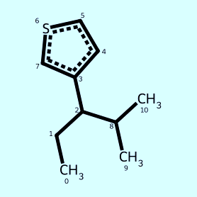 CCC(c1ccsc1)C(C)C